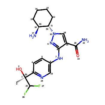 C[C@](O)(c1ccc(Nc2nn([C@H]3CCCC[C@@H]3N)cc2C(N)=O)cn1)C(F)F